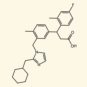 Cc1ccc(C(CC(=O)O)c2ccc(F)cc2C)cc1Cn1ccnc1CC1CCCCC1